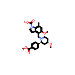 COC(=O)c1ccc([C@@H]2C[C@@H](OC)CCN2Cc2c(OC)cc(C)c3c2ccn3C(=O)O)cc1